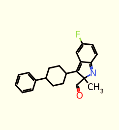 CC1(C=O)N=c2ccc(F)cc2=C1C1CCC(c2ccccc2)CC1